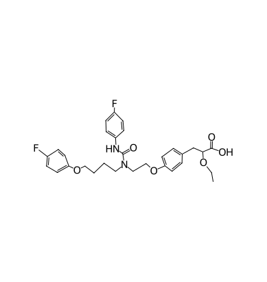 CCOC(Cc1ccc(OCCN(CCCCOc2ccc(F)cc2)C(=O)Nc2ccc(F)cc2)cc1)C(=O)O